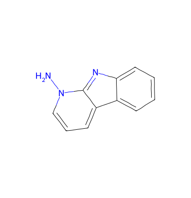 Nn1cccc2c3ccccc3nc1-2